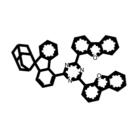 C1=CC2C(C(c3nc(-c4cccc5c4oc4ccccc45)nc(-c4cccc5c4oc4ccccc45)n3)=C1)c1ccccc1C21C2CC3CC(C2)CC1C3